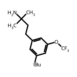 CC(C)(N)CCc1cc(OC(F)(F)F)cc(C(C)(C)C)c1